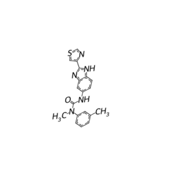 Cc1cccc(N(C)C(=O)Nc2ccc3[nH]c(-c4cscn4)nc3c2)c1